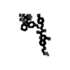 CCOc1ccc2oc(C(=O)N[C@H](CCN3CCC(C(=O)NC(C)(C)C)(C4CCCCC4)CC3)Cc3ccc(Cl)cc3)cc(=O)c2c1